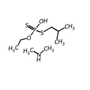 CCOP(O)(=S)SCC(C)C.CNC